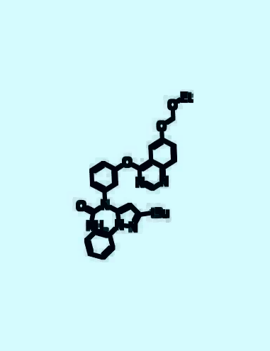 CCOCOc1ccc2ncnc(Oc3cccc(N(C(N)=O)c4cc(C(C)(C)C)nn4-c4ccccc4)c3)c2c1